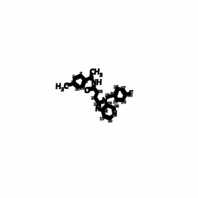 Cc1ccc(C(C)NC(=O)CCc2nc3ccncc3n2Cc2ccc(F)cc2)cc1